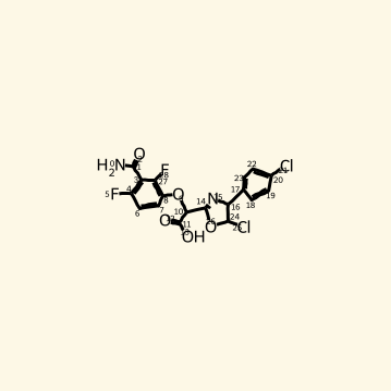 NC(=O)c1c(F)ccc(OC(C(=O)O)C2=NC(c3ccc(Cl)cc3)C(Cl)O2)c1F